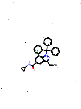 C=Cc1nn(C(c2ccccc2)(c2ccccc2)c2ccccc2)c2c(F)cc(C(=O)NC3CC3)cc12